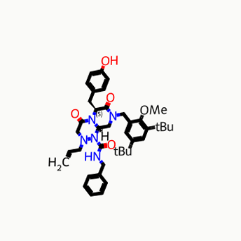 C=CCN1CC(=O)N2[C@@H](Cc3ccc(O)cc3)C(=O)N(Cc3cc(C(C)(C)C)cc(C(C)(C)C)c3OC)C[C@@H]2N1C(=O)NCc1ccccc1